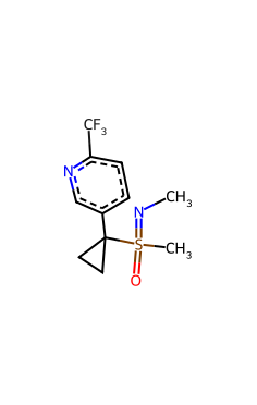 CN=S(C)(=O)C1(c2ccc(C(F)(F)F)nc2)CC1